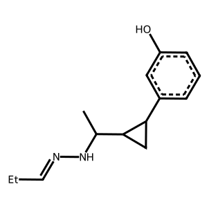 CCC=NNC(C)C1CC1c1cccc(O)c1